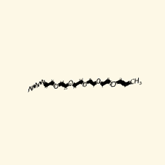 CCCOCCOCCOCCOCCOCCN=[N+]=[N-]